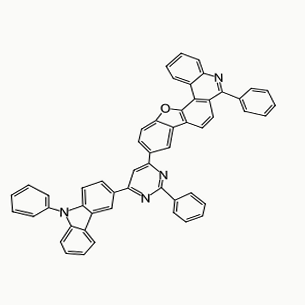 c1ccc(-c2nc(-c3ccc4oc5c(ccc6c(-c7ccccc7)nc7ccccc7c65)c4c3)cc(-c3ccc4c(c3)c3ccccc3n4-c3ccccc3)n2)cc1